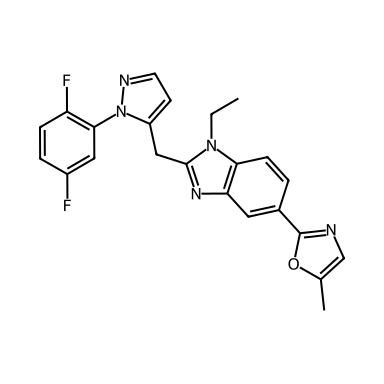 CCn1c(Cc2ccnn2-c2cc(F)ccc2F)nc2cc(-c3ncc(C)o3)ccc21